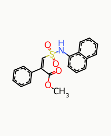 COC(=O)C(=CS(=O)(=O)Nc1cccc2ccccc12)c1ccccc1